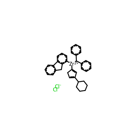 C1=C(C2CCCCC2)C=[C]([Zr+2](=[C](c2ccccc2)c2ccccc2)[c]2cccc3c2Cc2ccccc2-3)C1.[Cl-].[Cl-]